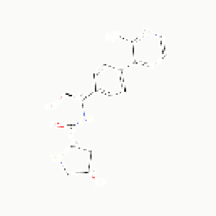 Cc1ncccc1-c1ccc([C@H](CO)NC(=O)[C@@H]2C[C@@H](O)CN2)cc1